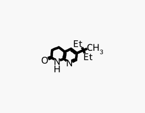 CCC(C)(CC)c1cnc2c(c1)CCC(=O)N2